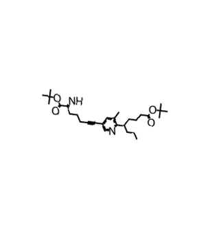 CCCC(CCCC(=O)OC(C)(C)C)c1ncc(C#CCCCC(=N)C(=O)OC(C)(C)C)cc1C